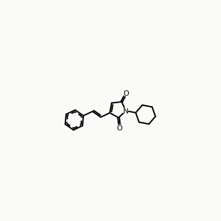 O=C1C=C(C=Cc2ccccc2)C(=O)N1C1CCCCC1